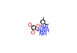 COc1cc(OC)c(C=NC(=N)Nc2nc(C)c3cc(C)ccc3n2)c(OC)c1